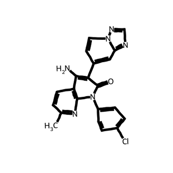 Cc1ccc2c(N)c(-c3ccn4ncnc4c3)c(=O)n(-c3ccc(Cl)cc3)c2n1